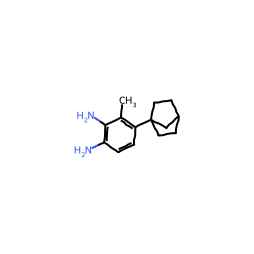 Cc1c(C23CCC(CC2)C3)ccc(N)c1N